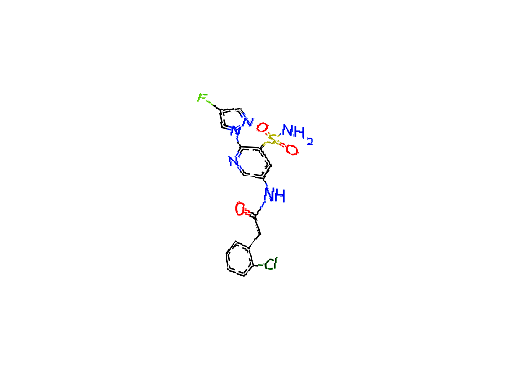 NS(=O)(=O)c1cc(NC(=O)Cc2ccccc2Cl)cnc1-n1cc(F)cn1